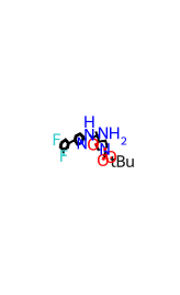 CC(C)(C)OC(=O)N1CCC(C(C)(N)C(=O)Nc2ccc(-c3cc(F)cc(F)c3)cn2)CC1